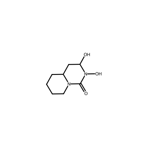 O=C1N(O)C(O)CC2CCCCN12